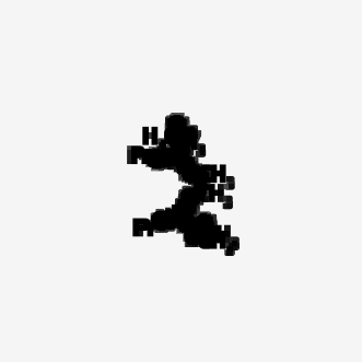 CC(C)c1ccc2cc3c(cc2c1)c1cc(-c2cccc4c2-c2ccccc2C4(C)C)cc2c4cc5cc(C(C)CCC(C)c6ccc7cc8c(cc7c6)c6cc(-c7cccc9c7C(C)(C)c7ccccc7-9)cc7c9cc%10cc(C(C)C)ccc%10cc9n8c76)ccc5cc4n3c12